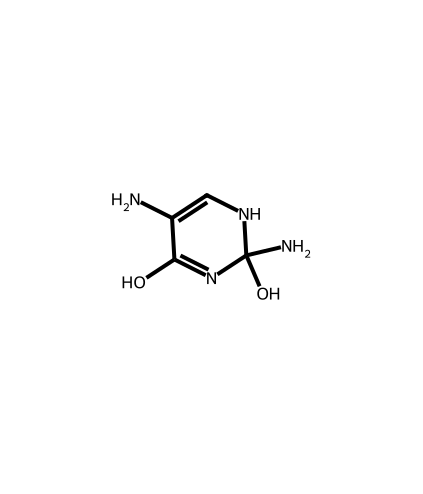 NC1=CNC(N)(O)N=C1O